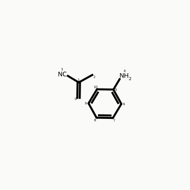 C=C(C)C#N.Nc1ccccc1